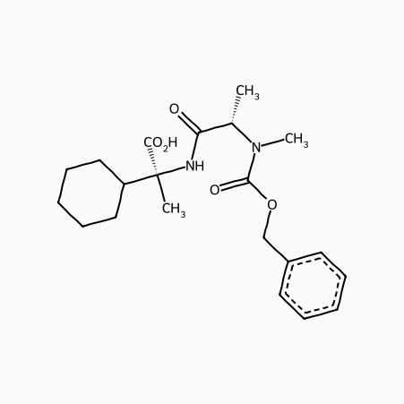 C[C@@H](C(=O)N[C@](C)(C(=O)O)C1CCCCC1)N(C)C(=O)OCc1ccccc1